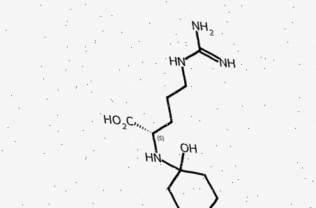 N=C(N)NCCC[C@H](NC1(O)CCCCC1)C(=O)O